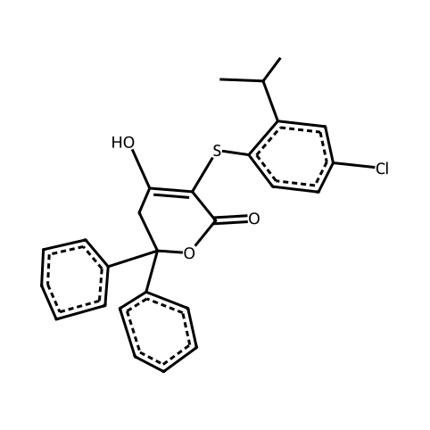 CC(C)c1cc(Cl)ccc1SC1=C(O)CC(c2ccccc2)(c2ccccc2)OC1=O